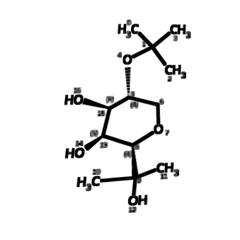 CC(C)(C)O[C@@H]1CO[C@@H](C(C)(C)O)[C@@H](O)[C@H]1O